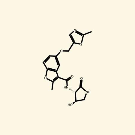 Cc1ncc(COc2ccc3oc(C)c(C(=O)N[C@@H]4C(=O)NC[C@H]4O)c3c2)s1